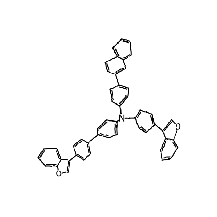 c1ccc2cc(-c3ccc(N(c4ccc(-c5ccc(-c6coc7ccccc67)cc5)cc4)c4ccc(-c5coc6ccccc56)cc4)cc3)ccc2c1